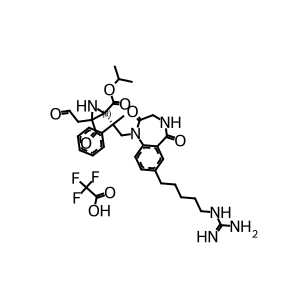 CC(C)OC(=O)[C@]1(C(C)(CN2C(=O)CNC(=O)c3cc(CCCCCNC(=N)N)ccc32)c2ccccc2)NC1(C=O)CC=O.O=C(O)C(F)(F)F